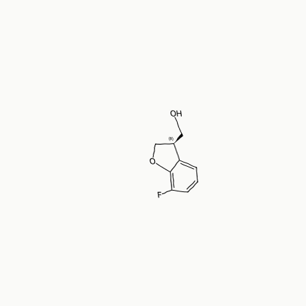 OC[C@@H]1COc2c(F)cccc21